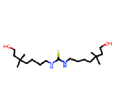 CC(C)(CCO)CCCCNC(=S)NCCCCC(C)(C)CCO